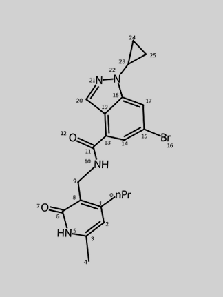 CCCc1cc(C)[nH]c(=O)c1CNC(=O)c1cc(Br)cc2c1cnn2C1CC1